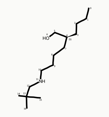 CCCC[C@H](CO)CCCCNCC(C)(C)C